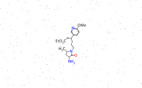 CCOC(=O)C[C@H](CCCN1C(=O)C(N)CC1C)c1ccc(OC)nc1